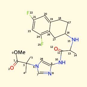 COC(=O)C(C)(C)n1cnc(NC(=O)C(C)NC2CCc3cc(F)cc(F)c3C2)c1